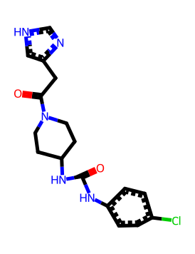 O=C(Nc1ccc(Cl)cc1)NC1CCN(C(=O)Cc2c[nH]cn2)CC1